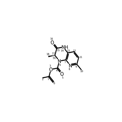 C=C(C)OC(=O)N1c2nc(C)ccc2NC(=O)[C@@H]1C